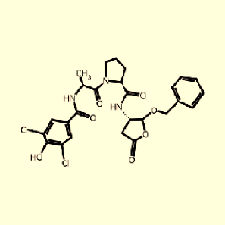 C[C@H](NC(=O)c1cc(Cl)c(O)c(Cl)c1)C(=O)N1CCC[C@H]1C(=O)N[C@H]1CC(=O)OC1OCc1ccccc1